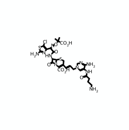 CC(C)(O/N=C(\C(=O)N[C@@H]1C(=O)N2C(C(=O)O)=C(/C=C/CN3C=C(NC(=O)CCCN)C(N)=NC3)CSC12)c1nc(N)sc1Cl)C(=O)O